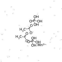 CC(=O)[O-].CC(=O)[O-].O=P(O)(O)O.O=P(O)(O)O.[Mn+2]